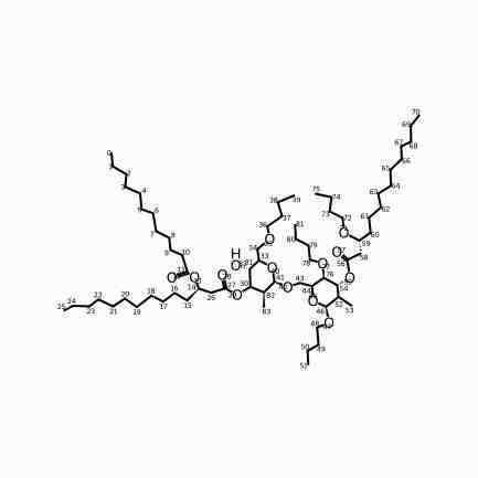 CCCCCCCCCCCC(=O)O[C@H](CCCCCCCCCCC)CC(=O)OC1[C@H](O)C(COCCCC)O[C@@H](OCC2O[C@H](OCCCC)C(C)[C@@H](OC(=O)C[C@@H](CCCCCCCCCCC)OCCCC)[C@@H]2OCCCC)[C@H]1C